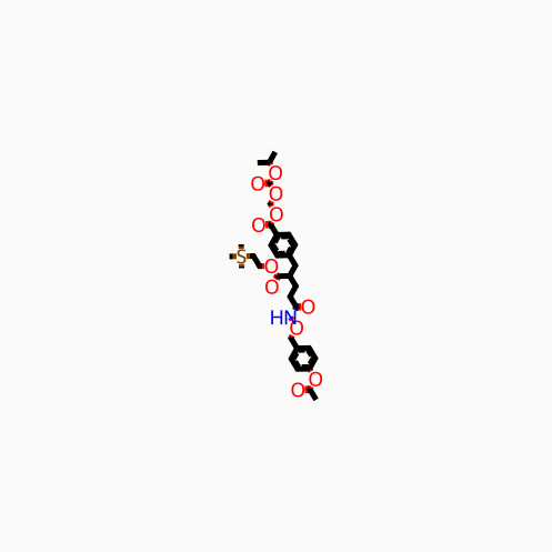 CC(=O)Oc1ccc(CONC(=O)CCC(Cc2ccc(C(=O)OCOC(=O)OC(C)C)cc2)C(=O)OCCS(C)(C)C)cc1